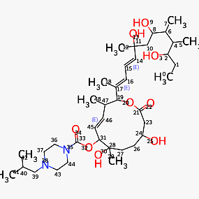 CCC(O)C(C)C(C)C(O)CC(C)(O)/C=C/C=C(\C)C1OC(=O)CC(O)CCC(C)(O)C(OC(=O)N2CCN(CC(C)C)CC2)/C=C/C1C